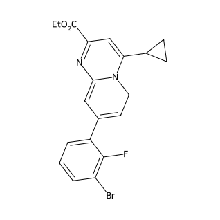 CCOC(=O)C1=NC2=CC(c3cccc(Br)c3F)=CCN2C(C2CC2)=C1